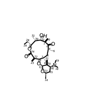 C=C1C(=O)[C@H](C)C[C@H](C)[C@H](O[C@@H]2O[C@H](C)C[C@H](N(C)C)C2=C)C(=C)C(=O)O[C@H](CC)[C@H](C)[C@@H]1O